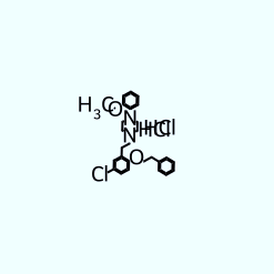 COc1ccccc1N1CCN(CCc2cc(Cl)ccc2OCCc2ccccc2)CC1.Cl.Cl